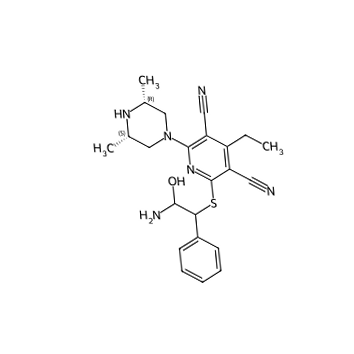 CCc1c(C#N)c(SC(c2ccccc2)C(N)O)nc(N2C[C@@H](C)N[C@@H](C)C2)c1C#N